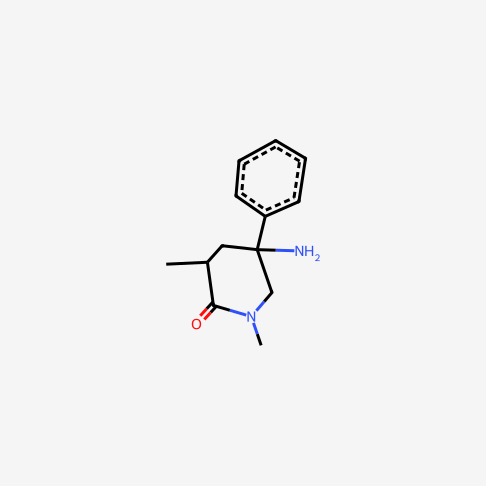 CC1CC(N)(c2ccccc2)CN(C)C1=O